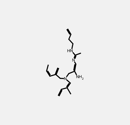 C=CCCN/C(C)=N/C=C(/N)CN(/C=C(/C)C=C)CC(=C)/C=C\C